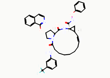 O=C1N[C@]2(C(=O)NOc3ccccc3)C[C@H]2/C=C\CCCCC[C@H](Nc2cccc(C(F)(F)F)c2)C(=O)N2C[C@H](Oc3nccc4ccccc34)C[C@@H]12